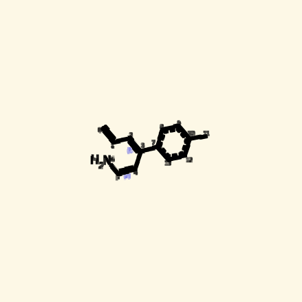 C=C/C=C(\C=C/N)c1ccc(C)cc1